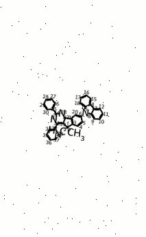 CC1(C)c2ccc(-n3c4ccccc4c4ccccc43)cc2-c2nc(-c3ccccc3)nc(-c3ccccn3)c21